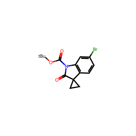 CC(C)(C)OC(=O)N1C(=O)C2(CC2)c2ccc(Br)cc21